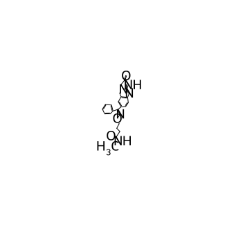 CNC(=O)CCCO/N=C(\c1ccccc1)c1ccc2c(c1)CN1CC(=O)NC1=N2